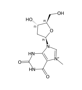 C[n+]1cn([C@H]2C[C@H](O)[C@@H](CO)O2)c2[nH]c(=O)[nH]c(=O)c21